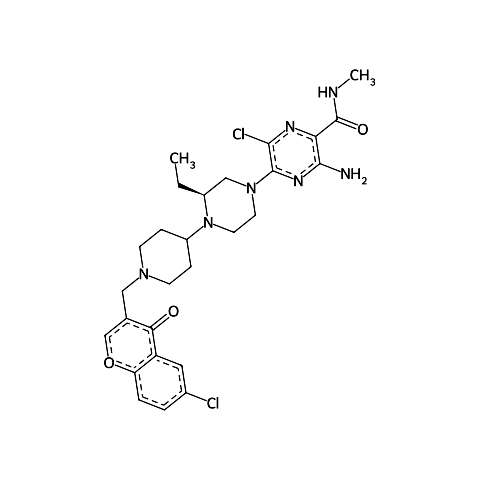 CC[C@H]1CN(c2nc(N)c(C(=O)NC)nc2Cl)CCN1C1CCN(Cc2coc3ccc(Cl)cc3c2=O)CC1